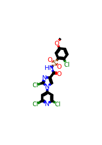 COc1ccc(Cl)c(S(=O)(=O)NC(=O)c2cn(-c3cc(Cl)nc(Cl)c3)c(Cl)n2)c1